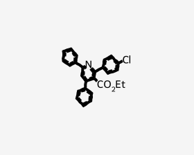 CCOC(=O)c1c(-c2ccccc2)cc(-c2ccccc2)nc1-c1ccc(Cl)cc1